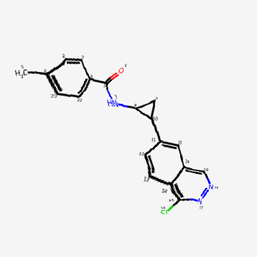 Cc1ccc(C(=O)NC2CC2c2ccc3c(Cl)nncc3c2)cc1